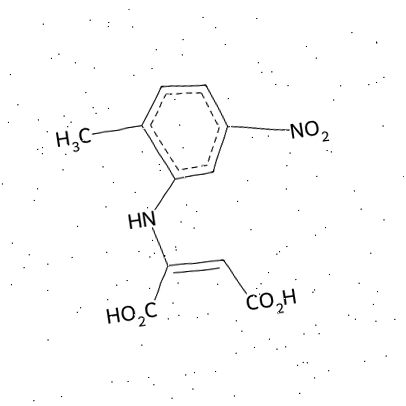 Cc1ccc([N+](=O)[O-])cc1NC(=CC(=O)O)C(=O)O